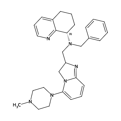 CN1CCN(C2=CC=CC3=NC(CN(Cc4ccccc4)[C@H]4CCCc5cccnc54)CN23)CC1